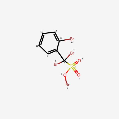 O=S(=O)(OBr)C(Br)(Br)c1ccccc1Br